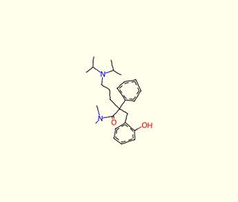 CC(C)N(CCCC(Cc1ccccc1O)(C(=O)N(C)C)c1ccccc1)C(C)C